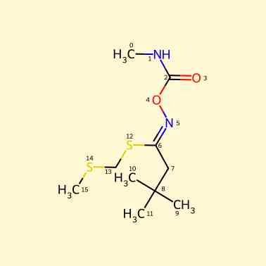 CNC(=O)ON=C(CC(C)(C)C)SCSC